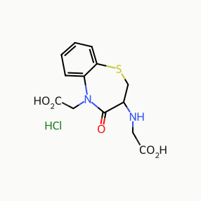 Cl.O=C(O)CNC1CSc2ccccc2N(CC(=O)O)C1=O